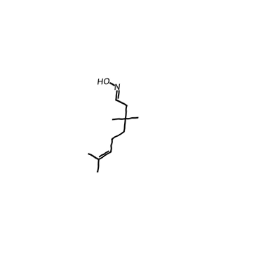 CC(C)=CCCC(C)(C)C/C=N/O